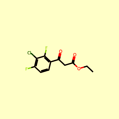 CCOC(=O)CC(=O)c1ccc(F)c(Cl)c1F